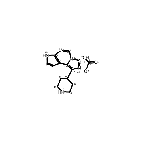 CC(=O)O.c1cc2c(ncn3nnc(C4CCNCC4)c23)[nH]1